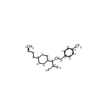 C=CCCC1CCC(C(OCc2ccc(C(F)(F)F)cc2)C(F)F)CC1